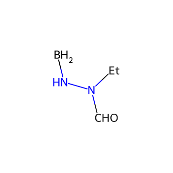 BNN(C=O)CC